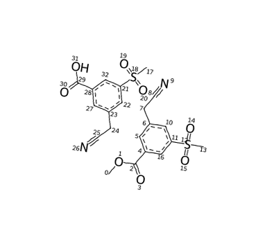 COC(=O)c1cc(CC#N)cc(S(C)(=O)=O)c1.CS(=O)(=O)c1cc(CC#N)cc(C(=O)O)c1